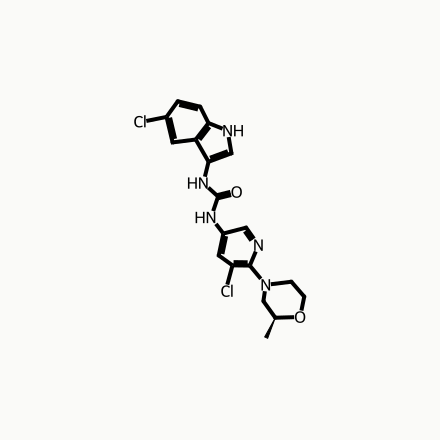 C[C@H]1CN(c2ncc(NC(=O)Nc3c[nH]c4ccc(Cl)cc34)cc2Cl)CCO1